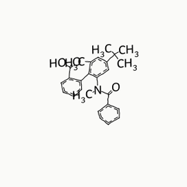 Cc1cc(C(C)(C)C)cc(N(C)C(=O)c2ccccc2)c1-c1ccccc1C(=O)O